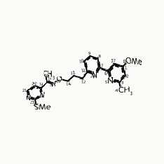 COc1cc(C)nc(-c2cccc(CCCO/N=C(\C)c3ccnc(SC)n3)n2)c1